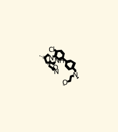 COCCN(C)Cc1ccc(-c2ccc(Cl)c(N3C[C@@H](C)C[C@@]3(CC#N)C(N)=O)c2)cc1